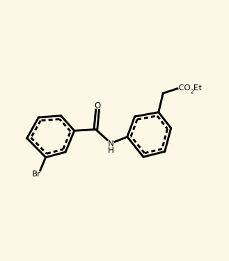 CCOC(=O)Cc1cccc(NC(=O)c2cccc(Br)c2)c1